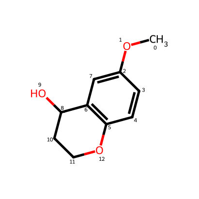 COc1ccc2c(c1)[C](O)CCO2